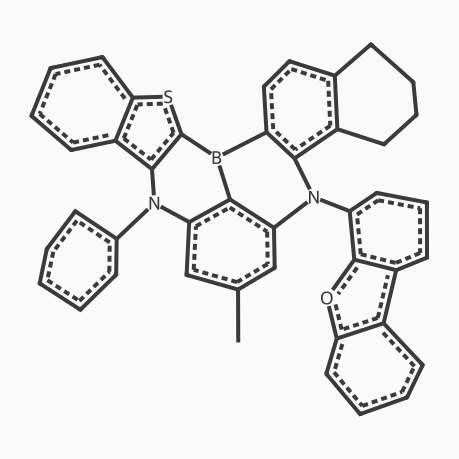 Cc1cc2c3c(c1)N(c1cccc4c1oc1ccccc14)c1c(ccc4c1CCCC4)B3c1sc3ccccc3c1N2c1ccccc1